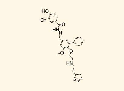 COc1cc(/C=N/NC(=O)c2ccc(O)c(Cl)c2)cc(-c2ccccc2)c1OCCNCCc1cccs1